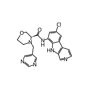 O=C(Nc1cc(Cl)cc2c1[nH]c1cnccc12)[C@@H]1COCCN1Cc1cncnc1